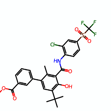 COC(=O)c1cccc(-c2cc(C(C)(C)C)c(O)c(C(=O)Nc3ccc(S(=O)(=O)C(F)(F)F)cc3Cl)c2C)c1